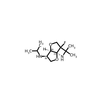 CC(C)N[C@@H]1CO[C@]23NC(C)(C)C2(F)CO[C@H]13